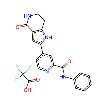 O=C(Nc1ccccc1)c1cc(-c2cc3c([nH]2)CCNC3=O)ccn1.O=C(O)C(F)(F)F